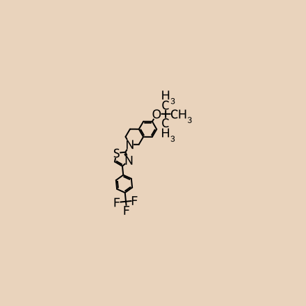 CC(C)(C)Oc1ccc2c(c1)CCN(c1nc(-c3ccc(C(F)(F)F)cc3)cs1)C2